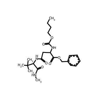 CCCCOC(=O)NC(CC(=O)NC(C(=O)NC)C(C)(C)C)C(=O)OCc1ccccc1